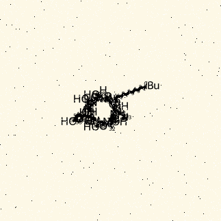 CCC(C)CCCCCCCCCCC(=O)N[C@H]1C[C@@H](O)[C@@H](OCCN(C)C)NC(=O)[C@@H]2[C@@H](O)[C@@H](C)CN2C(=O)[C@H](CO)NC(=O)[C@H]([C@H](O)[C@@H](O)c2ccc(O)cc2)NC(=O)[C@@H]2C[C@@H](O)CN2C(=O)[C@H]([C@@H](C)O)NC1=O